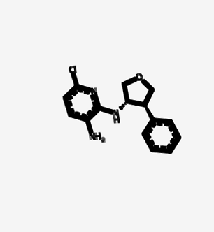 Nc1ccc(Cl)nc1N[C@@H]1COC[C@H]1c1ccccc1